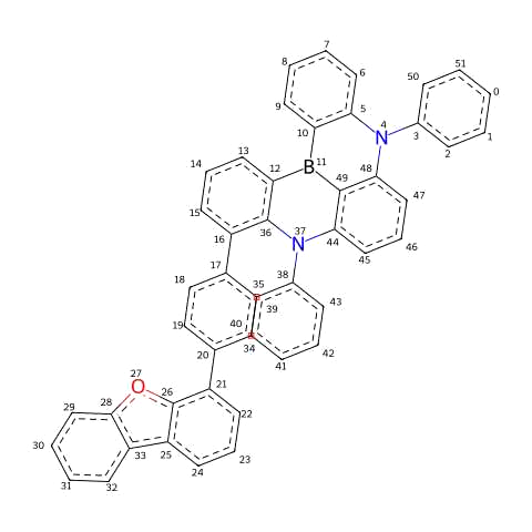 c1ccc(N2c3ccccc3B3c4cccc(-c5ccc(-c6cccc7c6oc6ccccc67)cc5)c4N(c4ccccc4)c4cccc2c43)cc1